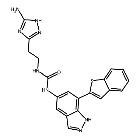 Nc1nc(CCNC(=O)Nc2cc(-c3cc4ccccc4s3)c3[nH]ncc3c2)n[nH]1